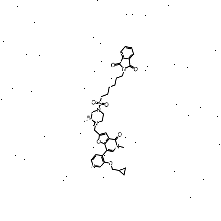 C[C@@H]1CN(S(=O)(=O)CCCCCCN2C(=O)c3ccccc3C2=O)CCN1Cc1cc2c(=O)n(C)cc(-c3ccncc3OCC3CC3)c2o1